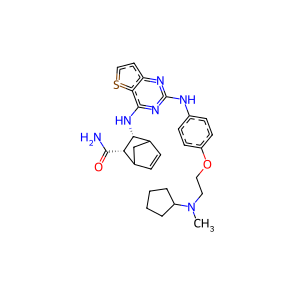 CN(CCOc1ccc(Nc2nc(N[C@@H]3C4C=CC(C4)[C@@H]3C(N)=O)c3sccc3n2)cc1)C1CCCC1